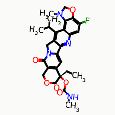 CC[C@@]1(OC(=O)NC)C(=O)OCc2c1cc1n(c2=O)Cc2c-1nc1cc(F)c3c(c1c2C(C)C)N(C)CO3